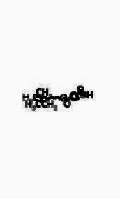 CC(C)C(CCCCCCOC(=O)c1ccc(C(=O)O)cc1)C(C)C